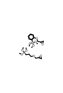 CO[Si](CCCOCC1CO1)(OC)OC.CO[Si](OC)(OC)c1ccccc1OCC1CO1